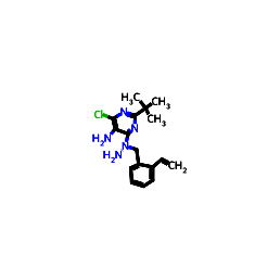 C=Cc1ccccc1CN(N)c1nc(C(C)(C)C)nc(Cl)c1N